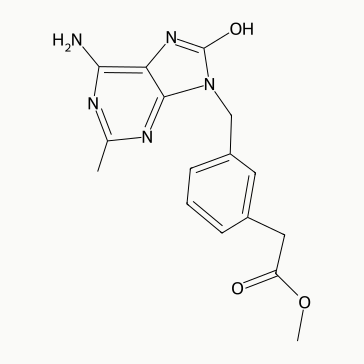 COC(=O)Cc1cccc(Cn2c(O)nc3c(N)nc(C)nc32)c1